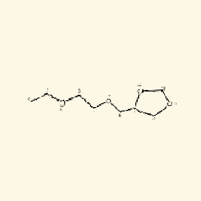 CCOCCOCC1CO[CH]O1